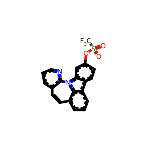 O=S(=O)(Oc1ccc2c3cccc4c3n(c2c1)-c1ncccc1C=C4)C(F)(F)F